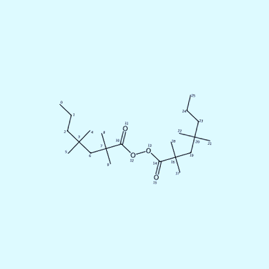 CCCC(C)(C)CC(C)(C)C(=O)OOC(=O)C(C)(C)CC(C)(C)CCC